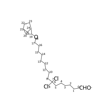 O=[C]CCCCCC(Cl)(Cl)CCCCCCCCCOC1CC2[CH]CC1C2